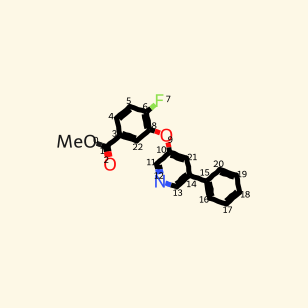 COC(=O)c1ccc(F)c(Oc2cncc(-c3ccccc3)c2)c1